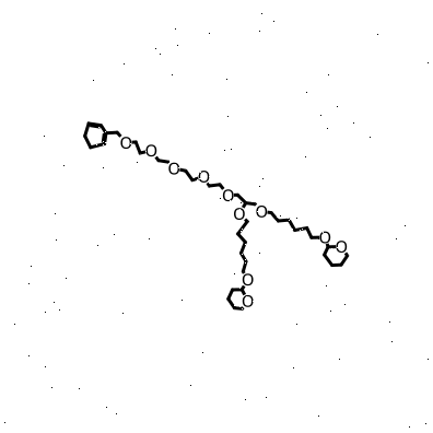 C1=CC(COCCOCCOCCOCCOCC(COCCCCCCOC2CCCCO2)OCCCCCCOC2CCCCO2)=CCC1